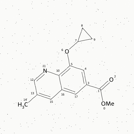 COC(=O)c1cc(OC2CC2)c2ncc(C)cc2c1